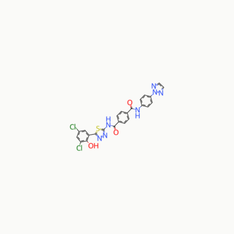 O=C(Nc1ccc(-n2nccn2)cc1)c1ccc(C(=O)Nc2nnc(-c3cc(Cl)cc(Cl)c3O)s2)cc1